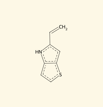 C=Cc1cc2sccc2[nH]1